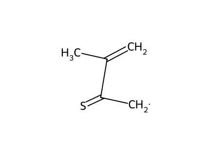 [CH2]C(=S)C(=C)C